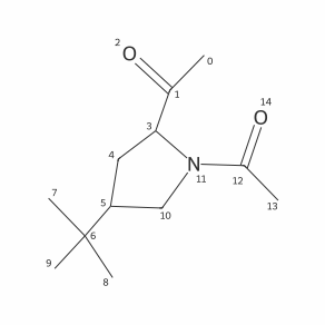 CC(=O)C1CC(C(C)(C)C)CN1C(C)=O